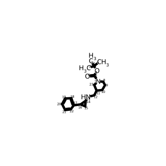 CC(C)(C)OC(=O)N1CCCC(CNC2CC2c2ccccc2)C1